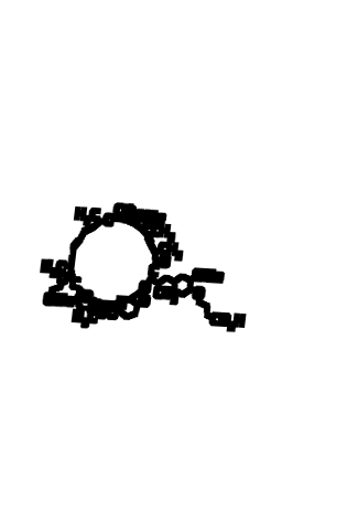 COCCOC1CC2CCC(C)C(O)(O2)C(=O)C(=O)N2CCCCC2C(=O)OC(C(C)CC2CCC(OCCCC(=O)O)C(OC)C2)CC(=O)C(C)/C=C(\C)C(O)C(OC)C(=O)C(C)CC(C)/C=C/C=C/C=C/1C